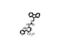 CCCCC(/C=C\C(Cc1cccnc1)C(=O)O)NC(=O)OCC1c2ccccc2-c2ccccc21